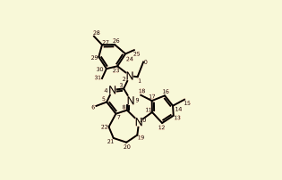 CCN(c1nc(C)c2c(n1)N(c1ccc(C)cc1C)CCCC2)c1c(C)cc(C)cc1C